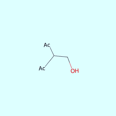 CC(=O)C(CO)C(C)=O